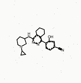 N#Cc1ccc(-c2nnc(NC3CCCN(C4CC4)C3)c3c2CCCC3)c(O)c1